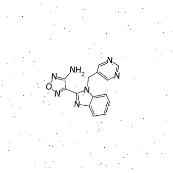 Nc1nonc1-c1nc2ccccc2n1Cc1cncnc1